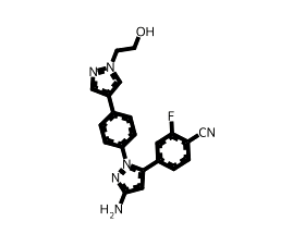 N#Cc1ccc(-c2cc(N)nn2-c2ccc(-c3cnn(CCO)c3)cc2)cc1F